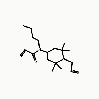 C=CCN1C(C)(C)CC(N(CCCC)C(=O)C=C)CC1(C)C